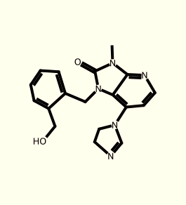 Cn1c(=O)n(Cc2ccccc2CO)c2c(N3C=NCC3)ccnc21